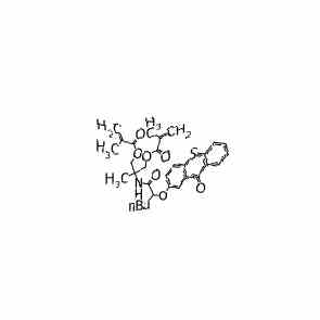 C=C(C)C(=O)OCC(C)(COC(=O)C(=C)C)NC(=O)C(CCCC)Oc1ccc2sc3ccccc3c(=O)c2c1